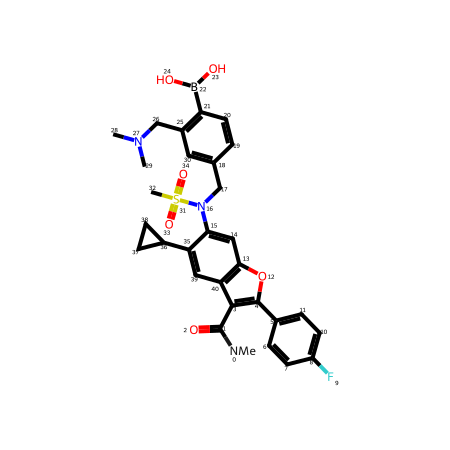 CNC(=O)c1c(-c2ccc(F)cc2)oc2cc(N(Cc3ccc(B(O)O)c(CN(C)C)c3)S(C)(=O)=O)c(C3CC3)cc12